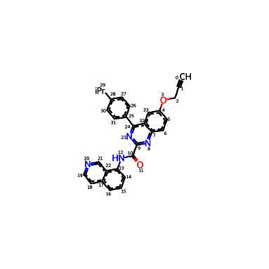 C#CCOc1ccc2nc(C(=O)Nc3cccc4ccncc34)nc(-c3ccc(C(C)C)cc3)c2c1